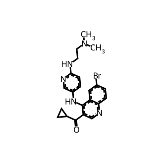 CN(C)CCNc1ccc(Nc2c(C(=O)C3CC3)cnc3ccc(Br)cc23)cn1